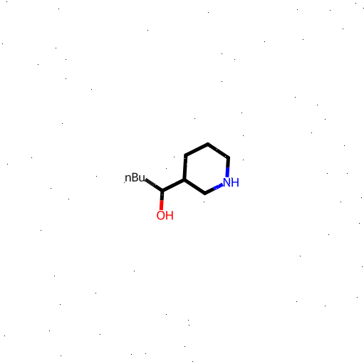 CCCCC(O)C1CCCNC1